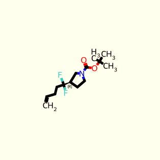 C=CCCC(F)(F)[C@@H]1CCN(C(=O)OC(C)(C)C)C1